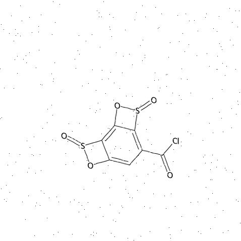 O=C(Cl)c1cc2c(c3c1S(=O)O3)S(=O)O2